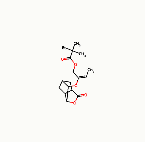 CC=C(COC(=O)C(C)(C)CC)OC1C2CC3C(=O)OC1C3C2